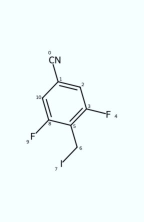 N#Cc1cc(F)c(CI)c(F)c1